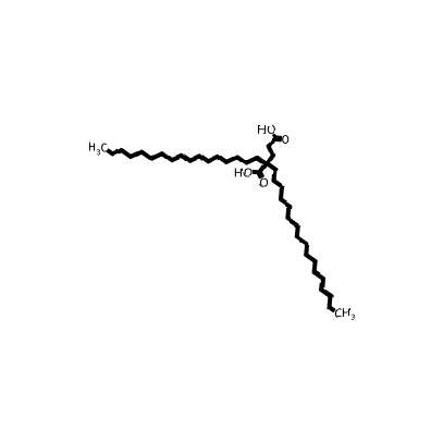 CCCCCCCCCCCCCCCCCC(CCCCCCCCCCCCCCCCC)(CCC(=O)O)C(=O)O